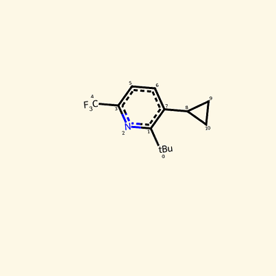 CC(C)(C)c1nc(C(F)(F)F)ccc1C1CC1